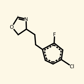 Fc1cc(Cl)ccc1CCC1CO[C]=N1